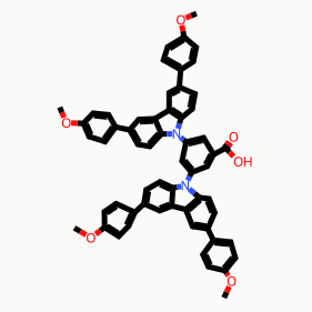 COc1ccc(-c2ccc3c(c2)c2cc(-c4ccc(OC)cc4)ccc2n3-c2cc(C(=O)O)cc(-n3c4ccc(-c5ccc(OC)cc5)cc4c4cc(-c5ccc(OC)cc5)ccc43)c2)cc1